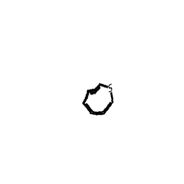 C1=C=CSC=CC=1